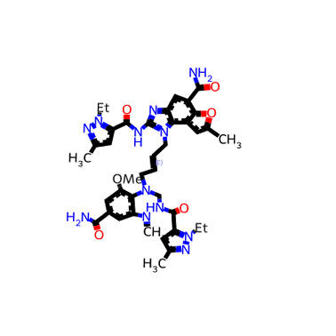 C=Nc1cc(C(N)=O)cc(OC)c1N(C/C=C/Cn1c(NC(=O)c2cc(C)nn2CC)nc2cc(C(N)=O)c3oc(C)cc3c21)CNC(=O)c1cc(C)nn1CC